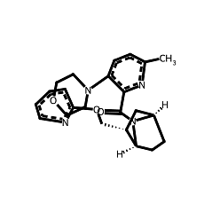 Cc1ccc(N2CCOCC2)c(C(=O)N2[C@@H]3CC[C@H]2[C@H](COc2ccccn2)C3)n1